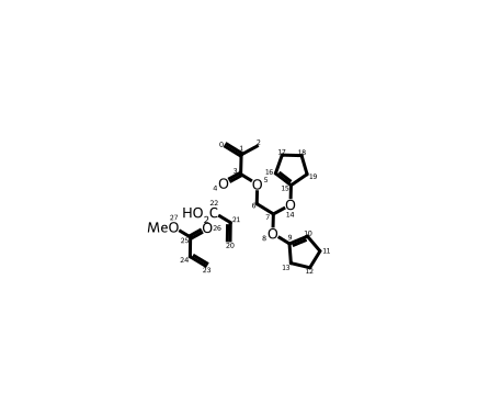 C=C(C)C(=O)OCC(OC1=CCCC1)OC1=CCCC1.C=CC(=O)O.C=CC(=O)OC